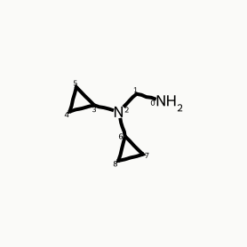 NCN(C1CC1)C1CC1